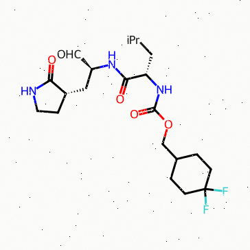 CC(C)C[C@H](NC(=O)OCC1CCC(F)(F)CC1)C(=O)N[C@H](C=O)C[C@@H]1CCNC1=O